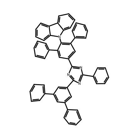 c1ccc(-c2cc(-c3ccccc3)cc(-c3nc(-c4ccccc4)nc(-c4cc(-c5ccccc5)c(-n5c6ccccc6c6ccccc65)c(-c5ccccc5)c4)n3)c2)cc1